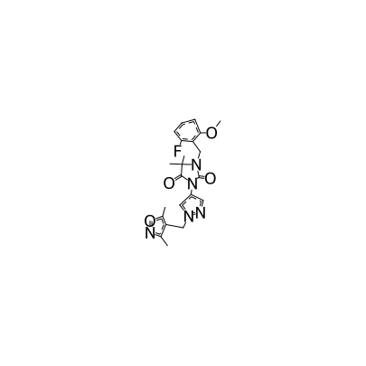 COc1cccc(F)c1CN1C(=O)N(c2cnn(Cc3c(C)noc3C)c2)C(=O)C1(C)C